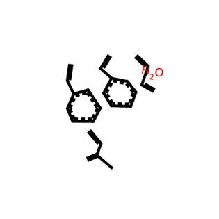 C=CC(=C)C.C=CC=C.C=Cc1ccccc1.C=Cc1ccccc1.O